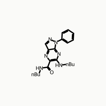 CCCCNC(=O)c1nc2cnn(-c3ccccc3)c2nc1NCCCC